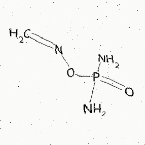 C=NOP(N)(N)=O